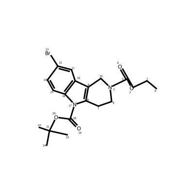 CCOC(=O)N1CCc2c(c3cc(Br)ccc3n2C(=O)OC(C)(C)C)C1